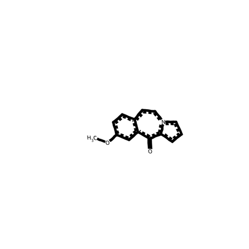 COc1ccc2ccn3cccc3c(=O)c2c1